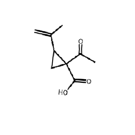 C=C(C)C1CC1(C(C)=O)C(=O)O